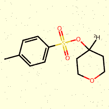 [2H]C1(OS(=O)(=O)c2ccc(C)cc2)CCOCC1